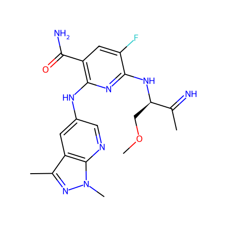 COC[C@@H](Nc1nc(Nc2cnc3c(c2)c(C)nn3C)c(C(N)=O)cc1F)C(C)=N